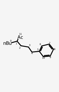 CCCCC(CCCc1ccccc1)C(C)=O